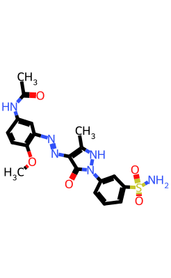 COc1ccc(NC(C)=O)cc1N=Nc1c(C)[nH]n(-c2cccc(S(N)(=O)=O)c2)c1=O